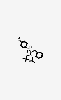 COc1ccc(S(=O)(=O)N(Cc2ccccc2)[C@H](CC(C)C)CC(C)(C)C)cc1